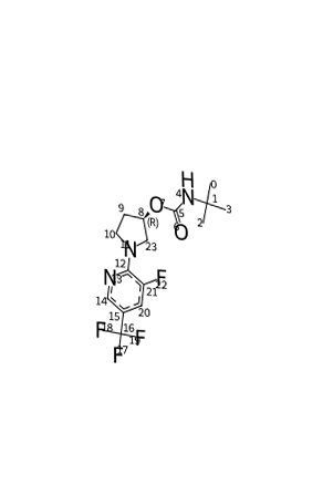 CC(C)(C)NC(=O)O[C@@H]1CCN(c2ncc(C(F)(F)F)cc2F)C1